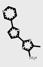 Cc1nc(-c2ccc(-c3cccnc3)s2)sc1C(=O)O